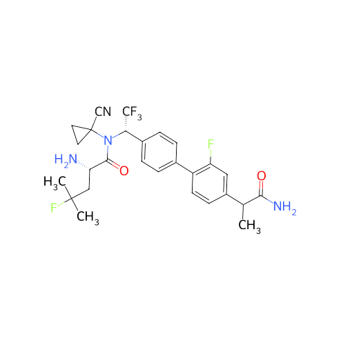 CC(C(N)=O)c1ccc(-c2ccc([C@H](N(C(=O)[C@@H](N)CC(C)(C)F)C3(C#N)CC3)C(F)(F)F)cc2)c(F)c1